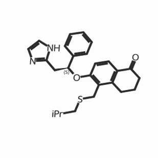 CC(C)CSCc1c(O[C@@H](Cc2ncc[nH]2)c2ccccc2)ccc2c1CCCC2=O